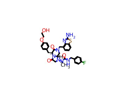 CN(C(=O)NCc1ccc(F)cc1)N1CC(=O)N2[C@@H](Cc3ccc(OCCO)cc3)C(=O)N(Cc3cccc4sc(N)nc34)C[C@@H]21